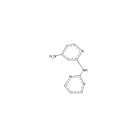 Nc1ccnc(Nc2ncccn2)c1